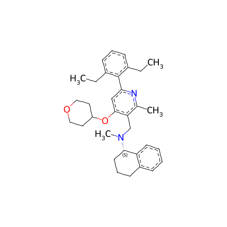 CCc1cccc(CC)c1-c1cc(OC2CCOCC2)c(CN(C)[C@H]2CCCc3ccccc32)c(C)n1